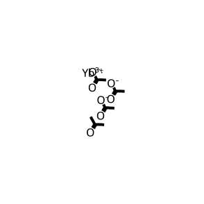 CC(=O)[O-].CC(=O)[O-].CC(=O)[O-].CC(C)=O.[Yb+3]